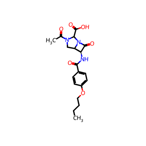 CCCCOc1ccc(C(=O)N[C@@H]2C(=O)N3C2CN(C(C)=O)C3C(=O)O)cc1